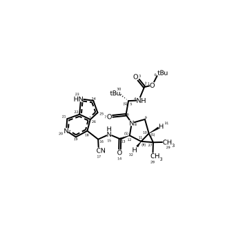 CC(C)(C)OC(=O)N[C@H](C(=O)N1C[C@H]2[C@@H]([C@H]1C(=O)NC(C#N)c1cncc3[nH]ccc13)C2(C)C)C(C)(C)C